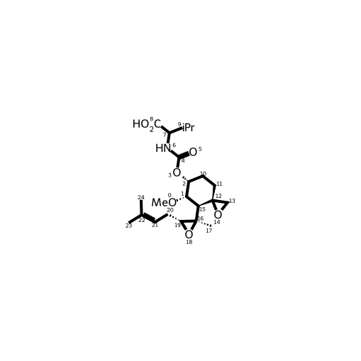 CO[C@@H]1[C@H](OC(=O)NC(C(=O)O)C(C)C)CC[C@]2(CO2)[C@H]1[C@@]1(C)O[C@@H]1CC=C(C)C